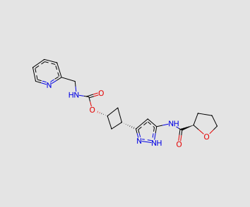 O=C(NCc1ccccn1)O[C@H]1C[C@@H](c2cc(NC(=O)[C@H]3CCCO3)[nH]n2)C1